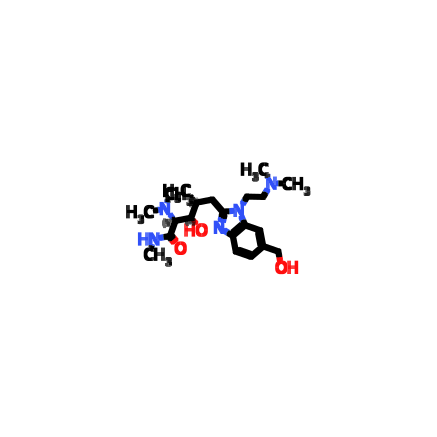 CNC(=O)[C@H]([C@H](O)[C@H](C)Cc1nc2ccc(CO)cc2n1CCN(C)C)N(C)C